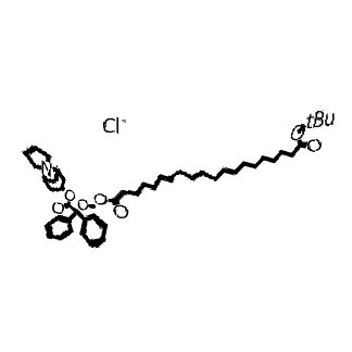 CC(C)(C)OC(=O)CCCCCCCCCCCCCCCCCCC(=O)OCOC(C(=O)OC1CC2CCC(C1)[N+]21CCCC1)(c1ccccc1)c1ccccc1.[Cl-]